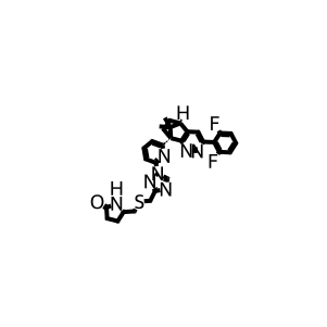 CC1(C)[C@H]2CC[C@]1(c1cccc(-n3cnc(CSCC4CCC(=O)N4)n3)n1)c1nnc(-c3c(F)cccc3F)cc12